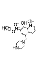 Cl.Cl.Cl.O=[N+]([O-])c1cc(CN2CCNCC2)c2cccnc2c1O